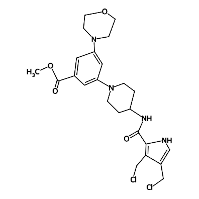 COC(=O)c1cc(N2CCOCC2)cc(N2CCC(NC(=O)c3[nH]cc(CCl)c3CCl)CC2)c1